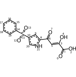 O=C(O)/C(O)=C/C(=O)c1cc(S(=O)(=O)c2ccccc2)c[nH]1